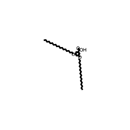 CCCCCCCCCCCCCCCCCCOc1cc(OCCCCCCCCCCCCCCCCCC)cc(C(=O)O)c1